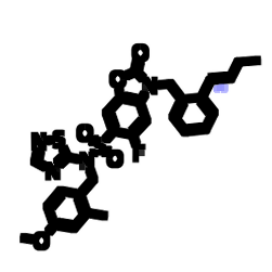 CC/C=C/c1ccccc1Cn1c(=O)oc2cc(S(=O)(=O)N(Cc3ccc(OC)cc3C)c3ncns3)c(F)cc21